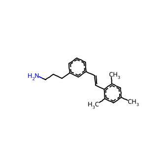 Cc1cc(C)c(C=Cc2cccc(CCCN)c2)c(C)c1